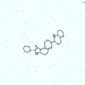 c1ccc(-c2nc3ccc4cc(-c5ccc6ccccc6n5)ccc4c3s2)cc1